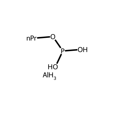 CCCOP(O)O.[AlH3]